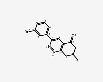 CC1CC(=O)c2cc(-c3cccc(Br)c3)nnc2C1